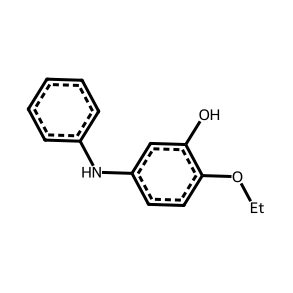 CCOc1ccc(Nc2ccccc2)cc1O